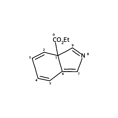 CCOC(=O)C12C=CC=CC1=CN=C2